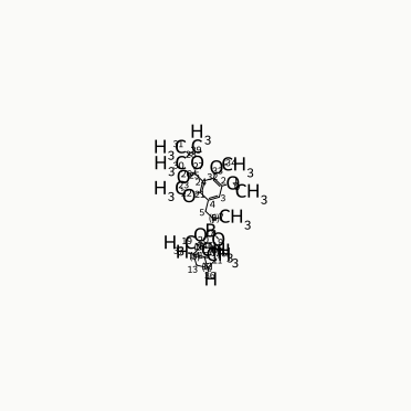 COc1cc(C[C@@H](C)B2O[C@@H]3C[C@@H]4C[C@@H](C4(C)C)[C@]3(C)O2)c(OC)c(C(=O)OC(C)(C)C)c1OC